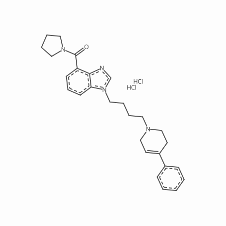 Cl.Cl.O=C(c1cccc2c1ncn2CCCCN1CC=C(c2ccccc2)CC1)N1CCCC1